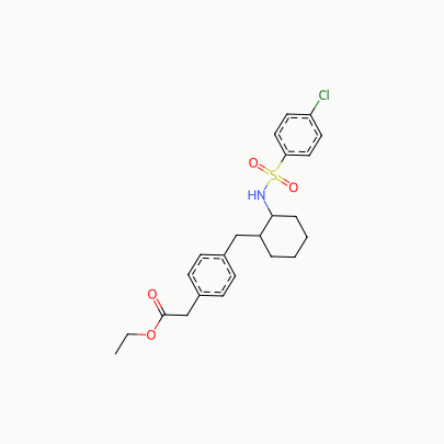 CCOC(=O)Cc1ccc(CC2CCCCC2NS(=O)(=O)c2ccc(Cl)cc2)cc1